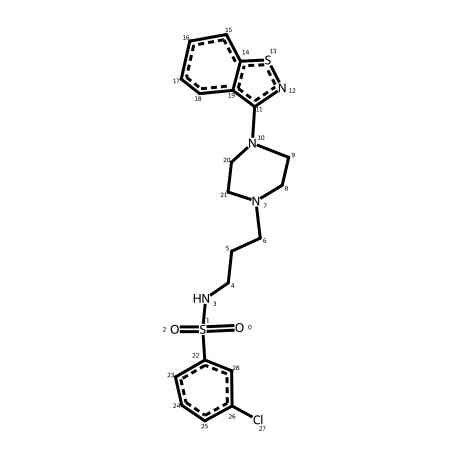 O=S(=O)(NCCCN1CCN(c2nsc3ccccc23)CC1)c1cccc(Cl)c1